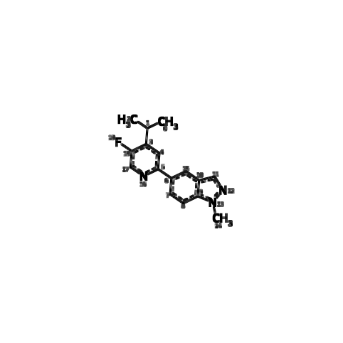 CC(C)c1cc(-c2ccc3c(cnn3C)c2)ncc1F